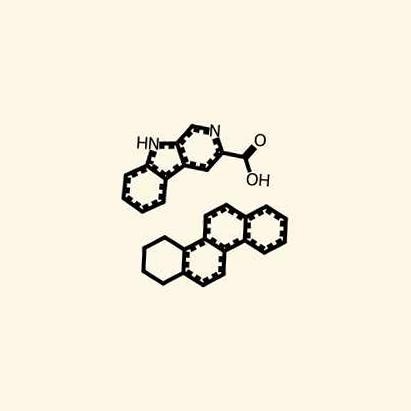 O=C(O)c1cc2c(cn1)[nH]c1ccccc12.c1ccc2c(c1)ccc1c3c(ccc12)CCCC3